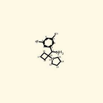 NC(c1cc(F)cc(F)c1)C1(N2CCCC2)CCC1